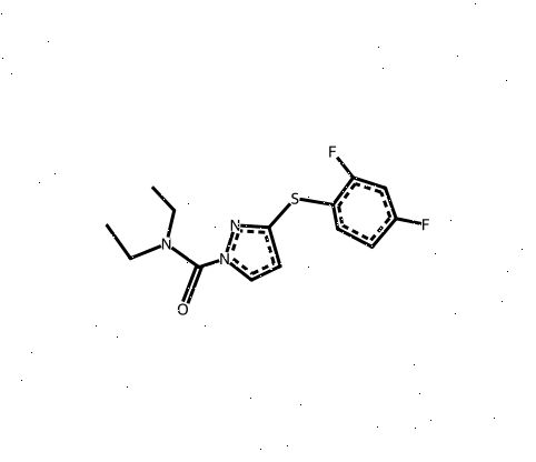 CCN(CC)C(=O)n1ccc(Sc2ccc(F)cc2F)n1